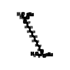 C=CP(OCCCC)OCCCCCCCCCCCCOP(C=C)OCCCC